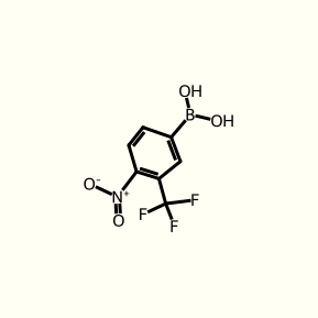 O=[N+]([O-])c1ccc(B(O)O)cc1C(F)(F)F